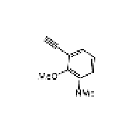 C#Cc1cccc(NC)c1OC